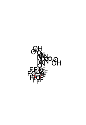 O=C(O)c1ccc2nc3c4nc5ccc(C(=O)O)cc5nc4c4nc5cc(C(=O)OC(c6c(F)c(F)c(F)c(F)c6F)(c6c(F)c(F)c(F)c(F)c6F)c6c(F)c(F)c(F)c(F)c6F)ccc5nc4c3nc2c1